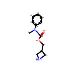 CN(C(=O)OCC1CNC1)c1ccccc1